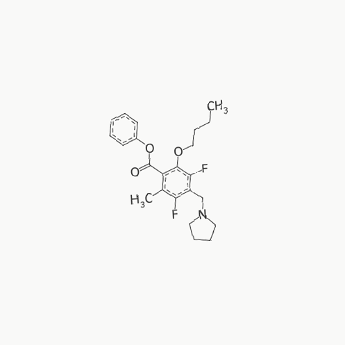 CCCCOc1c(F)c(CN2CCCC2)c(F)c(C)c1C(=O)Oc1ccccc1